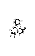 Fc1ccc2c(c1)C(c1ccccn1)=NCC(=S)N2